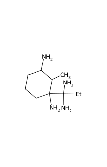 CCC(N)(N)C1(N)CCCC(N)C1C